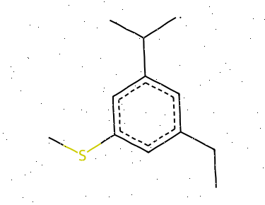 [CH2]C(C)c1cc(CC)cc(SC)c1